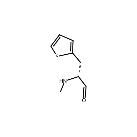 CN[C@@H](C=O)Cc1cccs1